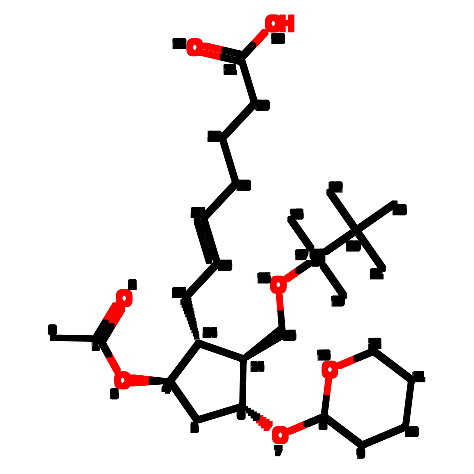 CC(=O)O[C@@H]1C[C@@H](OC2CCCCO2)[C@H](CO[Si](C)(C)C(C)(C)C)[C@H]1CC=CCCCC(=O)O